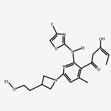 C/C=C(/O)CC(=O)c1c(C)cc(N2CC(CCOCC)C2)nc1N(CC)c1nc(F)cs1